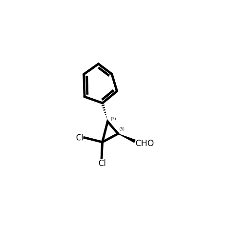 O=C[C@@H]1[C@@H](c2ccccc2)C1(Cl)Cl